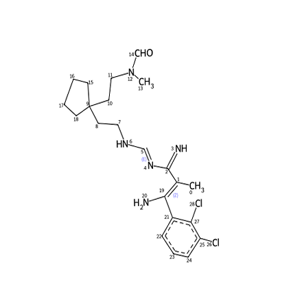 C/C(C(=N)/N=C/NCCC1(CCN(C)C=O)CCCC1)=C(/N)c1cccc(Cl)c1Cl